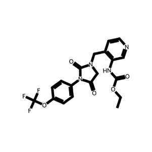 CCOC(=O)Nc1cnccc1CN1CC(=O)N(c2ccc(OC(F)(F)F)cc2)C1=O